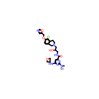 CCN(C)c1nc(NC2COC2)cc(C(=O)NCC(O)CN2CCc3c(ccc(OCc4cnco4)c3Cl)C2)n1